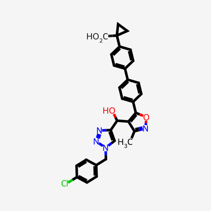 Cc1noc(-c2ccc(-c3ccc(C4(C(=O)O)CC4)cc3)cc2)c1C(O)c1cn(Cc2ccc(Cl)cc2)nn1